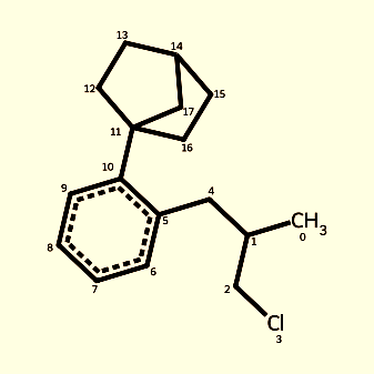 CC(CCl)Cc1ccccc1C12CCC(CC1)C2